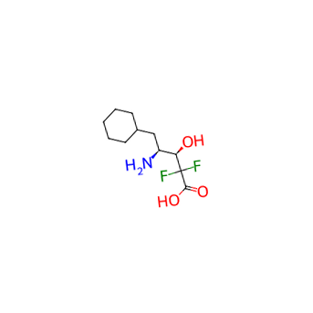 N[C@@H](CC1CCCCC1)[C@@H](O)C(F)(F)C(=O)O